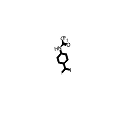 O=C(NC1CCC(C(I)I)CC1)C(F)(F)F